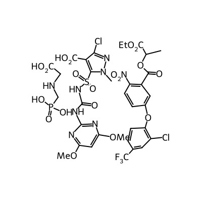 CCOC(=O)C(C)OC(=O)c1cc(Oc2ccc(C(F)(F)F)cc2Cl)ccc1[N+](=O)[O-].COc1cc(OC)nc(NC(=O)NS(=O)(=O)c2c(C(=O)O)c(Cl)nn2C)n1.O=C(O)CNCP(=O)(O)O